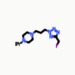 CC(C)N1CCN(CCCn2nnc(CI)n2)CC1